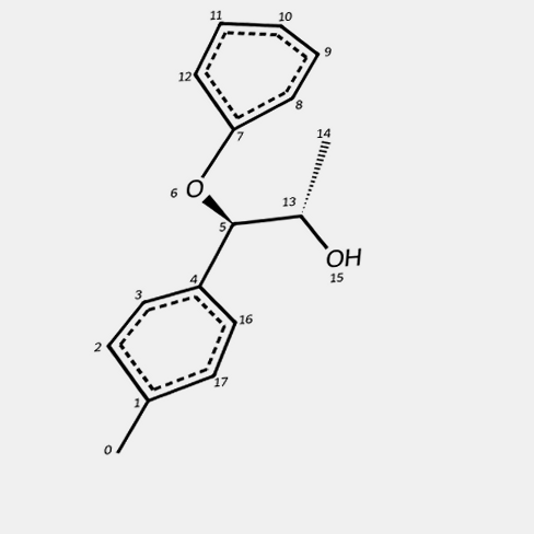 Cc1ccc([C@@H](Oc2ccccc2)[C@H](C)O)cc1